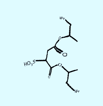 CC(C)CC(C)OC(=O)CC(C(=O)OC(C)CC(C)C)S(=O)(=O)O